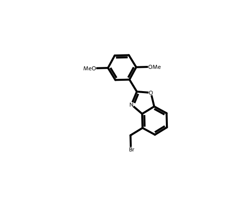 COc1ccc(OC)c(-c2nc3c(CBr)cccc3o2)c1